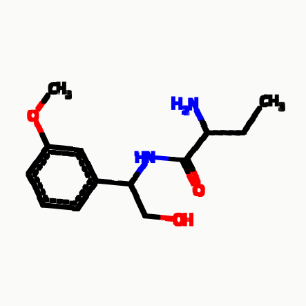 CCC(N)C(=O)NC(CO)c1cccc(OC)c1